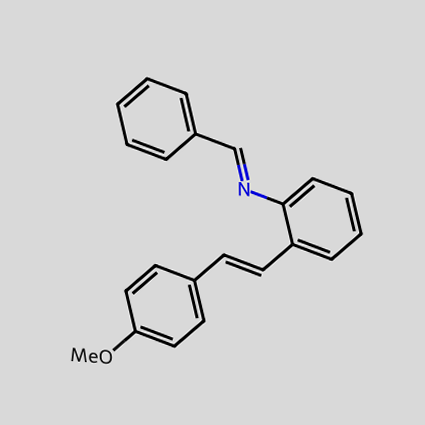 COc1ccc(C=Cc2ccccc2N=Cc2ccccc2)cc1